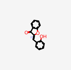 O=C1/C(=C/c2ccccc2O)Oc2ccccc21